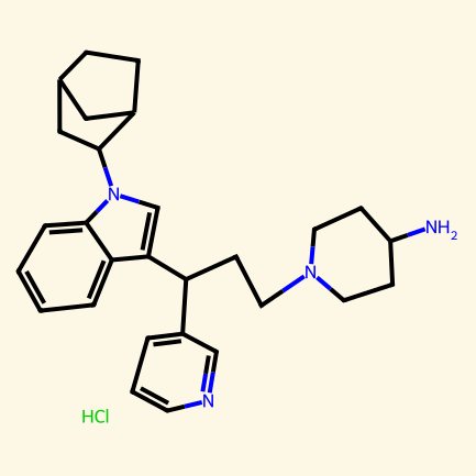 Cl.NC1CCN(CCC(c2cccnc2)c2cn(C3CC4CCC3C4)c3ccccc23)CC1